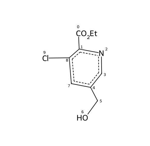 CCOC(=O)c1ncc(CO)cc1Cl